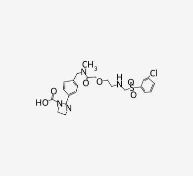 CN(Cc1ccc(C2=NCCN2C(=O)O)cc1)C(=O)COCCNCS(=O)(=O)c1cccc(Cl)c1